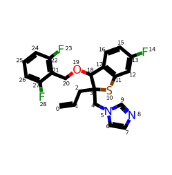 C=CCC1(Cn2ccnc2)Sc2cc(F)ccc2C1OCc1c(F)cccc1F